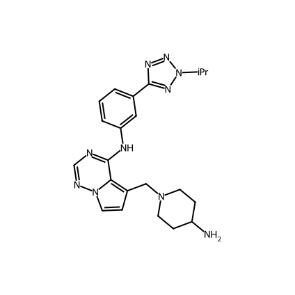 CC(C)n1nnc(-c2cccc(Nc3ncnn4ccc(CN5CCC(N)CC5)c34)c2)n1